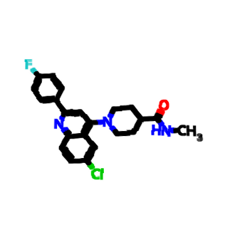 CNC(=O)C1CCN(c2cc(-c3ccc(F)cc3)nc3ccc(Cl)cc23)CC1